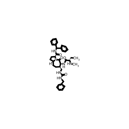 CC[C@H](NC)C(=O)N[C@@H]1C(=O)N2[C@@H](CC[C@@H]1CNC(=O)NCc1ccccc1)CC[C@H]2C(=O)NC(c1ccccc1)c1ccccc1